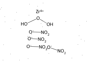 O=[N+]([O-])[O-].O=[N+]([O-])[O-].O=[N+]([O-])[O-].O=[N+]([O-])[O-].OOO.[Zr+4]